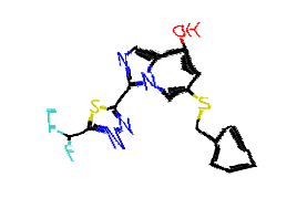 Oc1cc(SCc2ccccc2)cn2c(-c3nnc(C(F)F)s3)ncc12